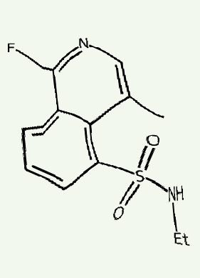 CCNS(=O)(=O)c1cccc2c(F)ncc(C)c12